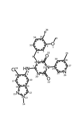 COc1cc(Cn2c(Nc3cc4cn(C)nc4cc3Cl)nc(=O)n(-c3cncc(C)c3)c2=O)ccc1F